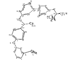 COc1cccc(Oc2ccc(C(Oc3cc(-c4ccc(C[C@H](N)C(=O)O)cc4)ncn3)C(F)(F)F)cc2)c1